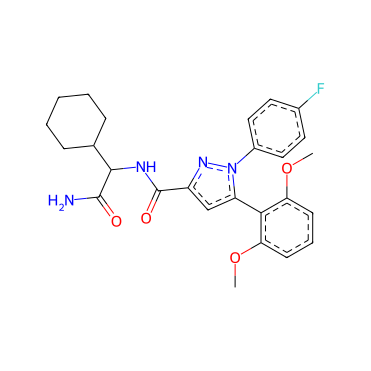 COc1cccc(OC)c1-c1cc(C(=O)NC(C(N)=O)C2CCCCC2)nn1-c1ccc(F)cc1